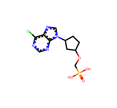 O=P(O)(O)COC1CCC(n2cnc3c(Cl)ncnc32)C1